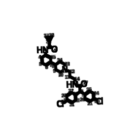 O=C(Nc1cccc(C2CCN(CCCNC(=O)C(c3ccc(Cl)cc3)c3ccc(Cl)cc3)CC2)c1)C1CC1